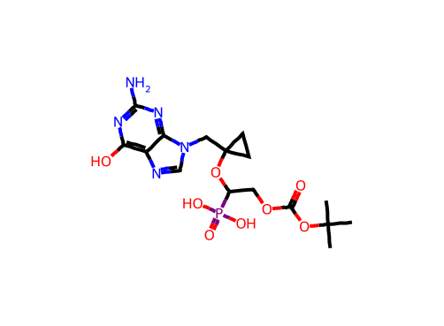 CC(C)(C)OC(=O)OCC(OC1(Cn2cnc3c(O)nc(N)nc32)CC1)P(=O)(O)O